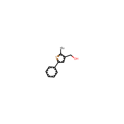 CC(C)(C)c1sc(-c2ccccc2)cc1CO